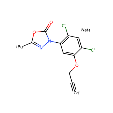 C#CCOc1cc(-n2nc(C(C)(C)C)oc2=O)c(Cl)cc1Cl.[NaH]